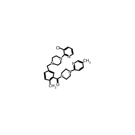 Cc1ccc(N2CCN(C(=O)c3cc(CN4CCN(c5ncccc5Cl)CC4)ccc3C)CC2)nc1